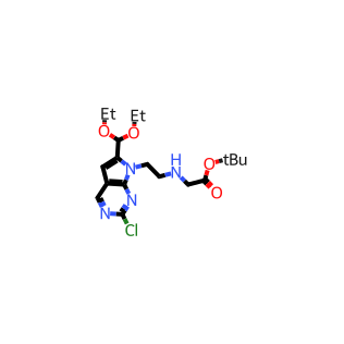 CCOC(OCC)c1cc2cnc(Cl)nc2n1CCNCC(=O)OC(C)(C)C